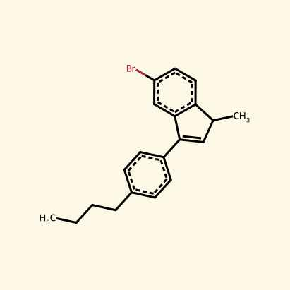 CCCCc1ccc(C2=CC(C)c3ccc(Br)cc32)cc1